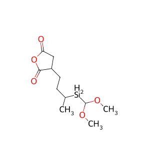 COC(OC)[SiH2]C(C)CCC1CC(=O)OC1=O